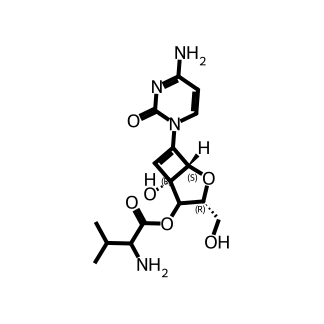 CC(C)C(N)C(=O)OC1[C@@H](CO)O[C@H]2C(n3ccc(N)nc3=O)=C[C@]12O